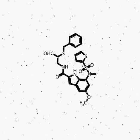 CN(c1cc(OC(F)(F)F)cc2cc(C(=O)NCC(C=O)SCc3ccccc3)[nH]c12)S(=O)(=O)c1cccs1